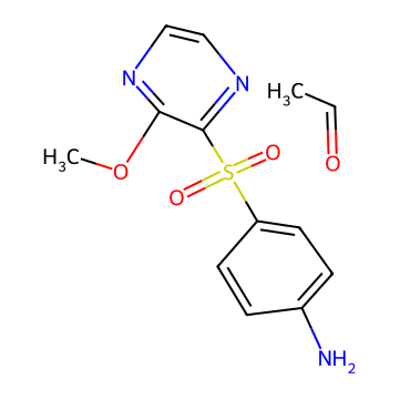 CC=O.COc1nccnc1S(=O)(=O)c1ccc(N)cc1